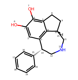 Oc1cc2c3c(c1O)CC[C@@H]3CNC[C@@H]2c1ccccc1